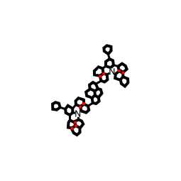 c1ccc(-c2cc(-c3ccccc3)c(N(c3ccc(-c4ccc5ccc6c(-c7ccc(N(c8ccc9ccccc9c8)c8c(-c9ccccc9)cc(-c9ccccc9)cc8-c8ccccc8)cc7)ccc7ccc4c5c76)cc3)c3ccc4ccccc4c3)c(-c3ccccc3)c2)cc1